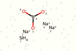 [Na+].[Na+].[Na+].[O-]B([O-])[O-].[SiH4]